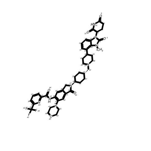 Cn1c(=O)n(C2CCC(=O)NC2=O)c2cccc(C3CCN(C[C@H]4CC[C@H](N5Cc6cc(NC(=O)c7cccc(C(F)(F)F)n7)c(N7CCOCC7)cc6C5=O)CC4)CC3)c21